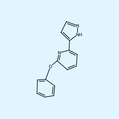 c1ccc(Oc2cccc(-c3ccn[nH]3)n2)cc1